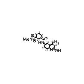 CNS(=O)(=O)c1cccc(C(=O)Nc2ccc3nc(O)cc(C)c3c2)c1